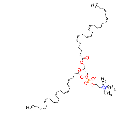 CC/C=C\C/C=C\C/C=C\C/C=C\C/C=C\C/C=C\CCCCC(=O)OCC(COP(=O)([O-])OCC[N+](C)(C)C)OC(=O)CC/C=C\C/C=C\C/C=C\C/C=C\C/C=C\C/C=C\CC